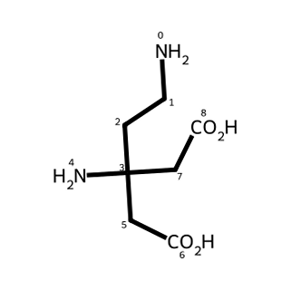 NCCC(N)(CC(=O)O)CC(=O)O